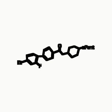 CCCCCC1CCC(CC(=O)c2ccc(-c3ccc(CC)cc3F)cc2)CC1